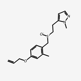 C=CCOc1ccc(C[S+]([O-])CCc2ccnn2C)c(C)c1